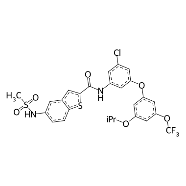 CC(C)Oc1cc(Oc2cc(Cl)cc(NC(=O)c3cc4cc(NS(C)(=O)=O)ccc4s3)c2)cc(OC(F)(F)F)c1